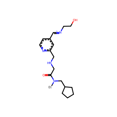 CCN(CC1CCCC1)C(=O)CNCc1cc(/C=N/CCO)ccn1